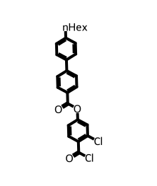 CCCCCCc1ccc(-c2ccc(C(=O)Oc3ccc(C(=O)Cl)c(Cl)c3)cc2)cc1